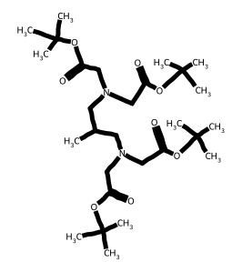 CC(CN(CC(=O)OC(C)(C)C)CC(=O)OC(C)(C)C)CN(CC(=O)OC(C)(C)C)CC(=O)OC(C)(C)C